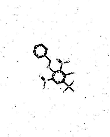 Nc1c(C(F)(F)F)cc([N+](=O)[O-])c(NCc2ccccc2)c1[N+](=O)[O-]